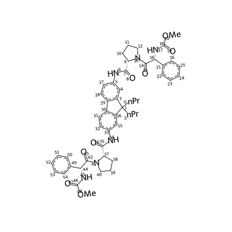 CCCC1(CCC)c2cc(NC(=O)[C@@H]3CCCN3C(=O)[C@H](NC(=O)OC)c3ccccc3)ccc2-c2ccc(NC(=O)[C@@H]3CCCN3C(=O)[C@H](NC(=O)OC)c3ccccc3)cc21